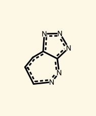 c1cnnc2nnnc-2c1